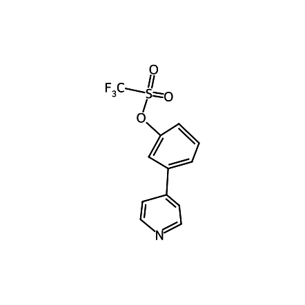 O=S(=O)(Oc1cccc(-c2ccncc2)c1)C(F)(F)F